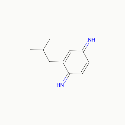 CC(C)CC1=CC(=N)C=CC1=N